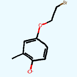 Cc1cc(OCCBr)ccc1[O]